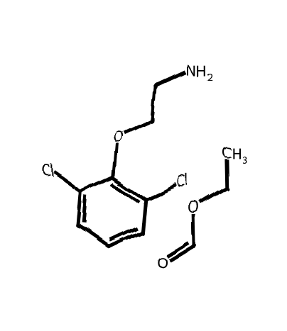 CCOC=O.NCCOc1c(Cl)cccc1Cl